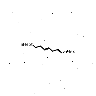 [CH2]CCCCCC=CCC=CCCCCCCCCC